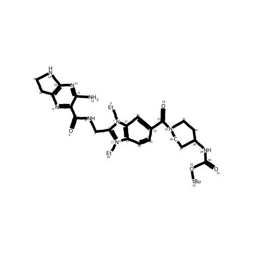 CCn1c(CNC(=O)c2nc3c(nc2N)NCC3)[n+](CC)c2ccc(C(=O)N3CCC(NC(=O)OC(C)(C)C)CC3)cc21